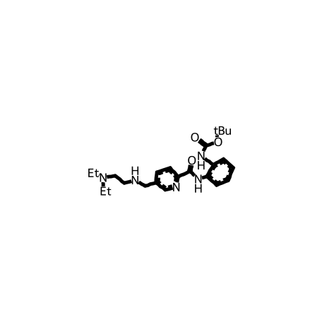 CCN(CC)CCNCc1ccc(C(=O)Nc2ccccc2NC(=O)OC(C)(C)C)nc1